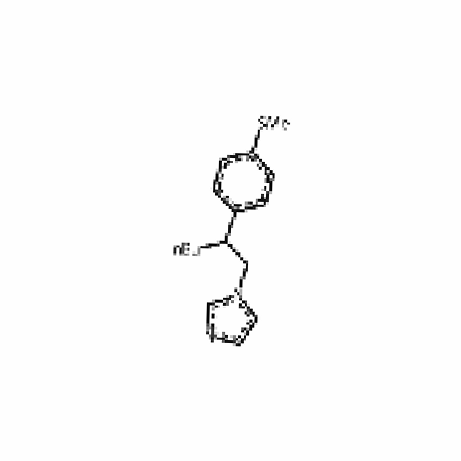 CCCCC(Cn1ccnc1)c1ccc(SC)cc1